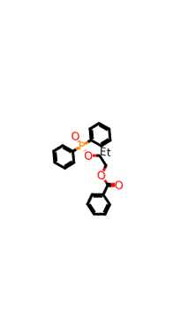 CCC(COC(=O)c1ccccc1)OP(=O)(c1ccccc1)c1ccccc1